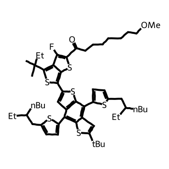 CCCCC(CC)Cc1ccc(-c2c3cc(C(C)(C)C)sc3c(-c3ccc(CC(CC)CCCC)s3)c3cc(-c4sc(C(C)(C)CC)c5c(F)c(C(=O)CCCCCCCOC)sc45)sc23)s1